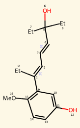 CC/C(=C\C=C\C(O)(CC)CC)c1cc(O)ccc1OC